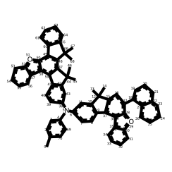 Cc1ccc(N(c2ccc3c(c2)C(C)(C)c2cc(-c4cccc5ccccc45)c4oc5ccccc5c4c2-3)c2ccc3c(c2)C(C)(C)c2c4c(c5oc6ccccc6c5c2-3)-c2ccccc2C4(C)C)cc1